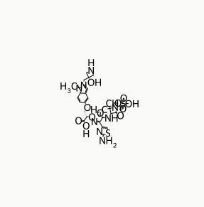 C[n+]1c2ccc(OC[C@H](O/N=C(\C(=O)N[C@@H]3C(=O)N(OS(=O)(=O)O)C3(C)C)c3csc(N)n3)C(=O)O)cc2cn1CC1(O)CNC1